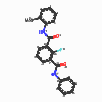 CSc1ccccc1NC(=O)c1cccc(C(=O)Nc2ccccc2)c1F